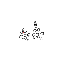 CC1C=C(C(C)(C)C)C=[C]1[Zr](=[C](c1ccccc1)c1ccccc1)[CH]1c2cc(C(C)(C)C)ccc2-c2ccc(C(C)(C)C)cc21.CCC1C=C(C(C)(C)C)C=[C]1[Zr+4](=[C](c1ccccc1)c1ccccc1)[CH]1c2cc(C(C)(C)C)ccc2-c2ccc(C(C)(C)C)cc21.[Cl-].[Cl-].[Cl-].[Cl-]